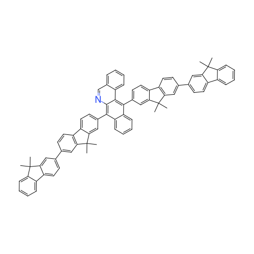 CC1(C)c2ccccc2-c2ccc(-c3ccc4c(c3)C(C)(C)c3cc(-c5c6ccccc6c(-c6ccc7c(c6)C(C)(C)c6cc(-c8ccc9c(c8)C(C)(C)c8ccccc8-9)ccc6-7)c6c5ncc5ccccc56)ccc3-4)cc21